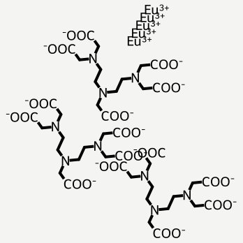 O=C([O-])CN(CCN(CC(=O)[O-])CC(=O)[O-])CCN(CC(=O)[O-])CC(=O)[O-].O=C([O-])CN(CCN(CC(=O)[O-])CC(=O)[O-])CCN(CC(=O)[O-])CC(=O)[O-].O=C([O-])CN(CCN(CC(=O)[O-])CC(=O)[O-])CCN(CC(=O)[O-])CC(=O)[O-].[Eu+3].[Eu+3].[Eu+3].[Eu+3].[Eu+3]